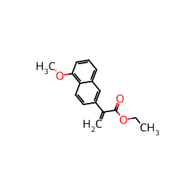 C=C(C(=O)OCC)c1ccc2c(OC)cccc2c1